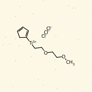 COCCOC[CH2][Ti+3][C]1=CC=CC1.[Cl-].[Cl-].[Cl-]